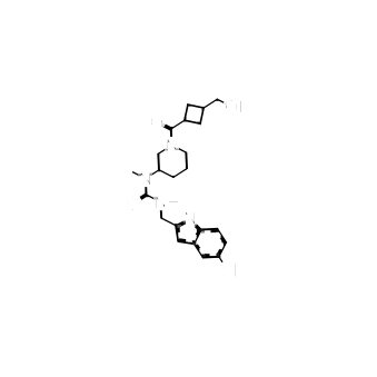 CN(C(=O)NCc1cc2cc(Cl)ccc2[nH]1)C1CCCN(C(=O)C2CC(CO)C2)C1